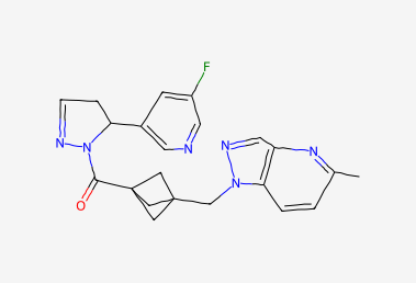 Cc1ccc2c(cnn2CC23CC(C(=O)N4N=CCC4c4cncc(F)c4)(C2)C3)n1